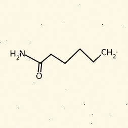 [CH2]CCCCC(N)=O